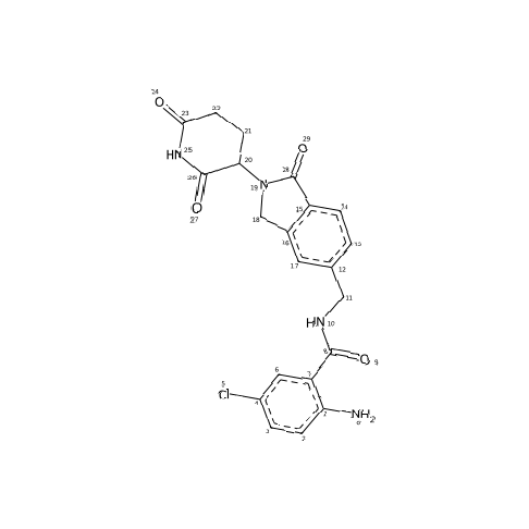 Nc1ccc(Cl)cc1C(=O)NCc1ccc2c(c1)CN(C1CCC(=O)NC1=O)C2=O